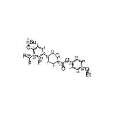 CCCCOc1ccc(C2CCC(C(=O)Oc3ccc(OCC)cc3)OC2)c(F)c1C(F)F